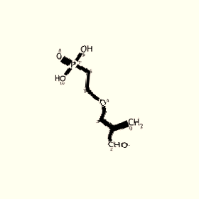 C=C([C]=O)COCCP(=O)(O)O